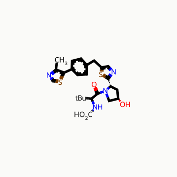 Cc1ncsc1-c1ccc(Cc2cnc([C@@H]3C[C@@H](O)CN3C(=O)C(NC(=O)O)C(C)(C)C)s2)cc1